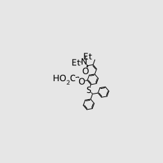 CCN(CC)C(=O)/C(C)=C\c1ccc(SC(c2ccccc2)c2ccccc2)c(OCC(=O)O)c1